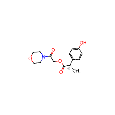 C[C@H](C(=O)OCC(=O)N1CCOCC1)c1ccc(O)cc1